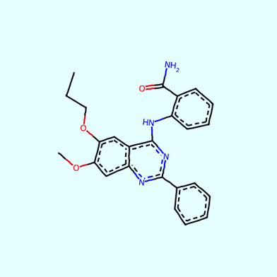 CCCOc1cc2c(Nc3ccccc3C(N)=O)nc(-c3ccccc3)nc2cc1OC